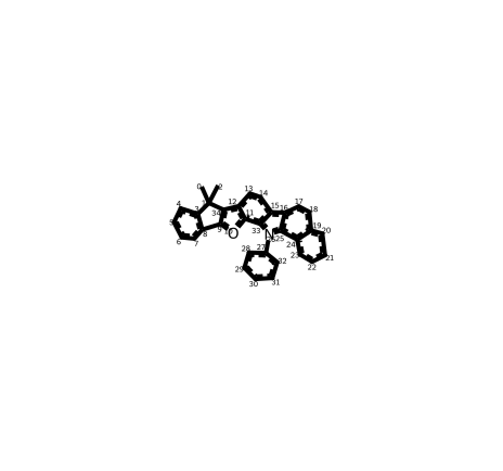 CC1(C)c2ccccc2-c2oc3c(ccc4c5ccc6ccccc6c5n(-c5ccccc5)c43)c21